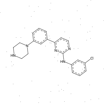 Clc1cccc(Nc2nccc(-c3cccc(N4CCNCC4)c3)n2)c1